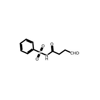 O=[C]CCC(=O)NS(=O)(=O)c1ccccc1